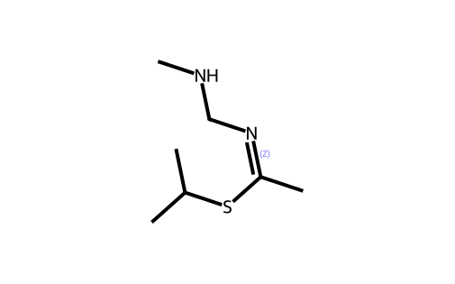 CNC/N=C(/C)SC(C)C